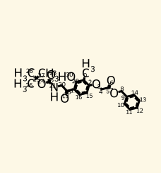 Cc1c(OCC(=O)OCc2ccccc2)ccc(C(=O)CNC(=O)OC(C)(C)C)c1O